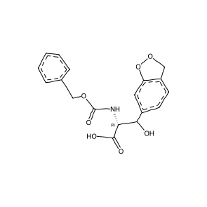 O=C(N[C@@H](C(=O)O)C(O)c1ccc2c(c1)OOC2)OCc1ccccc1